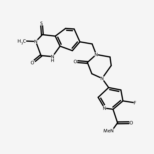 CNC(=O)c1ncc(N2CCN(Cc3ccc4c(=S)n(C)c(=O)[nH]c4c3)C(=O)C2)cc1F